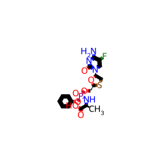 C[C@H](NP(=O)(OC[C@@H]1O[C@H](n2cc(F)c(N)nc2=O)CS1)Oc1ccccc1)C(=O)O